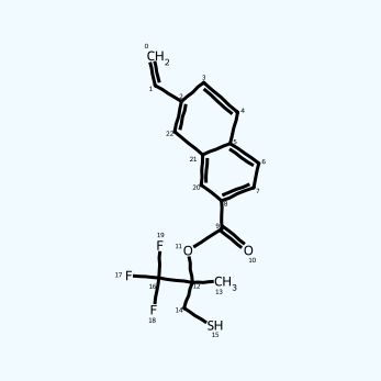 C=Cc1ccc2ccc(C(=O)OC(C)(CS)C(F)(F)F)cc2c1